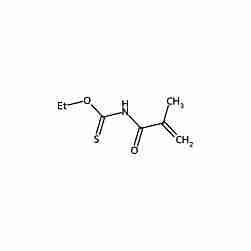 C=C(C)C(=O)NC(=S)OCC